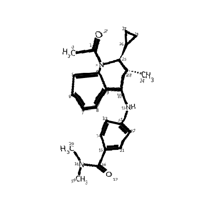 CC(=O)N1c2ccccc2C(Nc2ccc(C(=O)N(C)C)cc2)[C@@H](C)[C@@H]1C1CC1